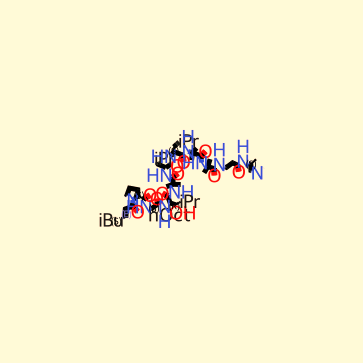 CCCCCCCC[C@H](NC(=O)[C@@H]1CCCN1C(=O)/C=C/[C@@H](C)CC)C(=O)NC(C(=O)NC(C)(C)C(=O)NC(CC(C)C)C(=O)N[C@@H](CC(C)C)C(=O)NC(C)(C)C(=O)NC(C)(C)C(=O)NCCC(=O)N[C@@H](C)CN(C)C)[C@H](O)C(C)C